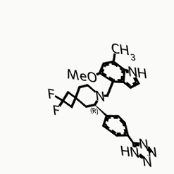 COc1cc(C)c2[nH]ccc2c1CN1CCC2(C[C@@H]1c1ccc(-c3nnn[nH]3)cc1)CC(F)(F)C2